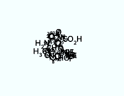 CN(C)S(=O)(=O)N1CCc2ccc(C(N)=O)cc21.NCc1cccc(C(=O)N(CC(=O)O)c2ccccc2)c1.O=C(O)C(F)(F)F